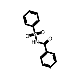 O=C(NS(=O)(=O)c1ccccc1)c1cc[c]cc1